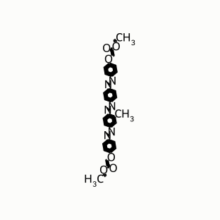 CCOC(=O)COc1ccc(N=Nc2ccc(N=Nc3ccc(N=Nc4ccc(OCC(=O)OCC)cc4)cc3C)cc2)cc1